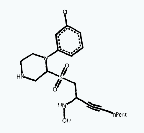 CCCCCC#CC(CS(=O)(=O)C1CNCCN1c1cccc(Cl)c1)NO